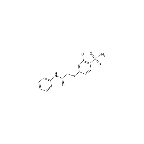 NS(=O)(=O)c1ccc(SCC(=O)Nc2ccccc2)cc1Cl